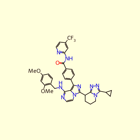 COc1ccc(CNc2nccn3c(C4CCCn5c(C6CC6)nnc54)nc(-c4ccc(C(=O)Nc5cc(C(F)(F)F)ccn5)cc4)c23)c(OC)c1